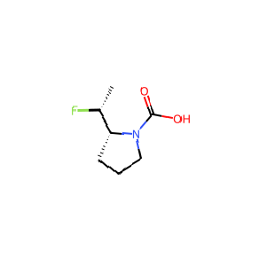 C[C@@H](F)[C@H]1CCCN1C(=O)O